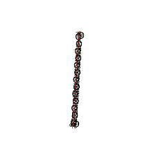 C=C(C)C(=O)OCCCCOCCCCOCCCCOCCCCOCCCCOCCCCOCCCCOCCCCOCCCCOCCCCOCCCCOCCCCOC(=O)C(=C)C